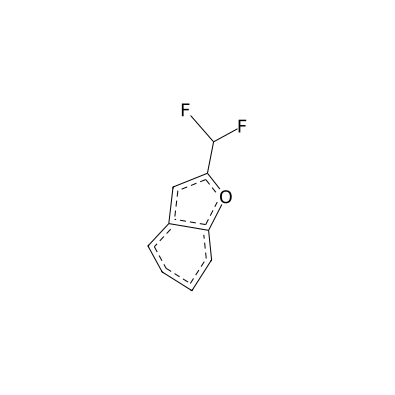 FC(F)c1cc2ccccc2o1